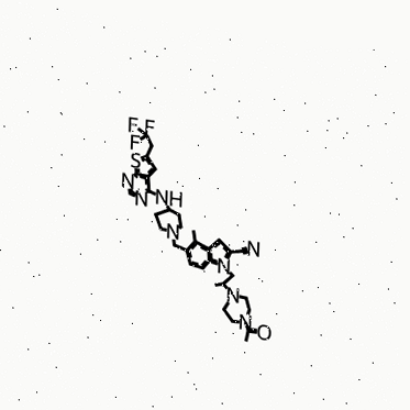 CC(=O)N1CCN(C(C)Cn2c(C#N)cc3c(C)c(CN4CCC(Nc5ncnc6sc(CC(F)(F)F)cc56)CC4)ccc32)CC1